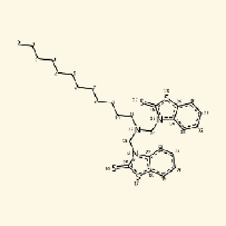 CCCCCCCCCCCCN(Cn1c(=S)sc2ccccc21)Cn1c(=S)sc2ccccc21